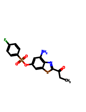 CCC(=O)c1nc2c(N)cc(OS(=O)(=O)c3ccc(F)cc3)cc2s1